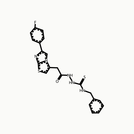 O=C(Cc1csc2nc(-c3ccc(F)cc3)cn12)NNC(=S)NCc1ccccc1